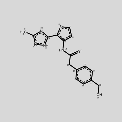 Cc1n[nH]c(-c2sccc2NC(=O)Cc2ccc(CO)cc2)n1